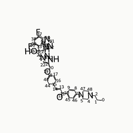 CCCN1CCN(c2ccc(C(=O)/C=C/C3C=CC(OCC4=CN(CC(O)(Cn5cncn5)c5ccc(F)cc5F)NN4)=CC3)cc2)CC1